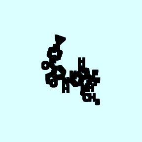 CCNc1cc(Nc2ccc(C(=O)N3CCN(C4CC4)CC3)c3c2OCC3)nc2[nH]cc(C(F)(F)F)c12